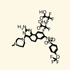 CN1CCCN(c2nc(N)nc3c2CCc2cc(NS(=O)(=O)c4ccc(OC(F)(F)F)cc4)ccc2-3)CC1.O=C(O)C(F)(F)F.O=C(O)C(F)(F)F